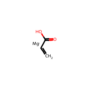 C=CC(=O)O.[Mg]